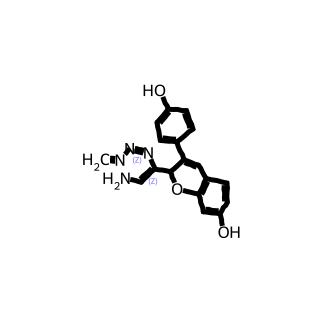 C=N/N=N\C(=C/N)C1Oc2cc(O)ccc2C=C1c1ccc(O)cc1